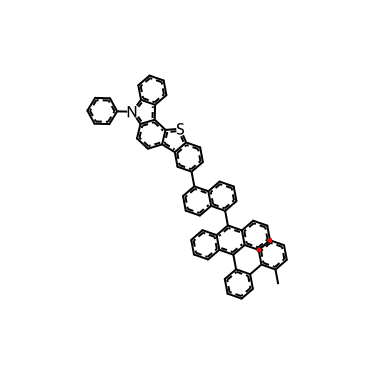 Cc1ccccc1-c1ccccc1-c1c2ccccc2c(-c2cccc3c(-c4ccc5sc6c(ccc7c6c6ccccc6n7-c6ccccc6)c5c4)cccc23)c2ccccc12